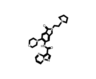 O=C(Nc1cc2c(cc1N1CCOCC1)C(=O)N(CCN1CCCC1)C2)c1cnn2cccnc12